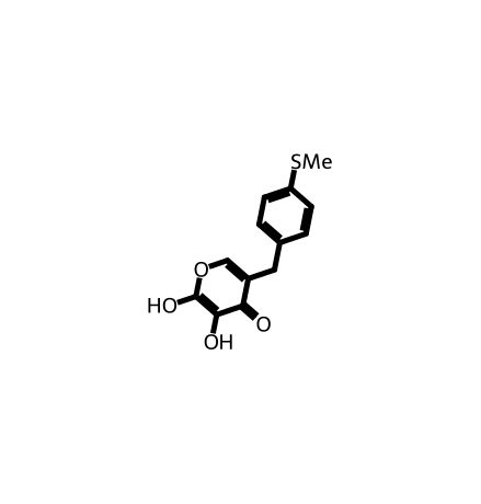 CSc1ccc(Cc2coc(O)c(O)c2=O)cc1